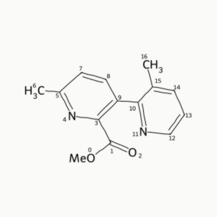 COC(=O)c1nc(C)ccc1-c1ncccc1C